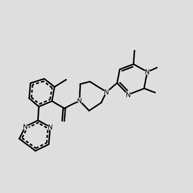 C=C(c1c(C)cccc1-c1ncccn1)N1CCN(C2=NC(C)N(C)C(C)=C2)CC1